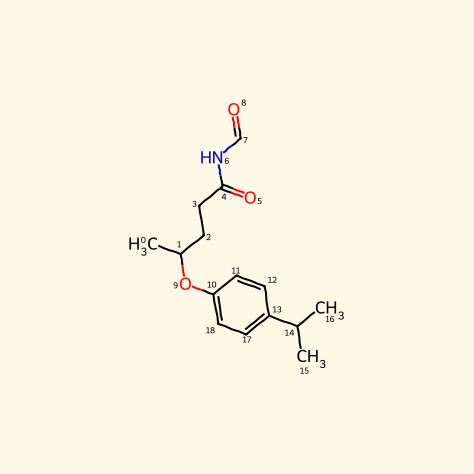 CC(CCC(=O)NC=O)Oc1ccc(C(C)C)cc1